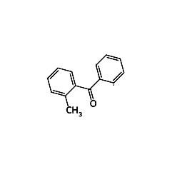 Cc1ccccc1C(=O)c1[c]cccc1